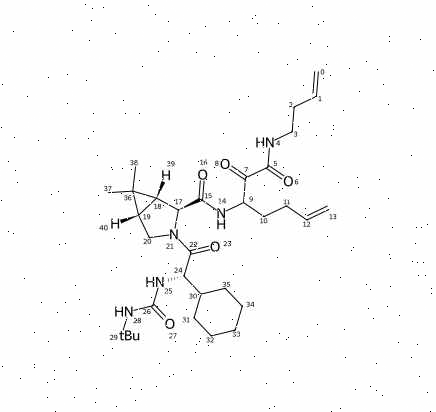 C=CCCNC(=O)C(=O)C(CCC=C)NC(=O)[C@@H]1[C@@H]2[C@H](CN1C(=O)[C@@H](NC(=O)NC(C)(C)C)C1CCCCC1)C2(C)C